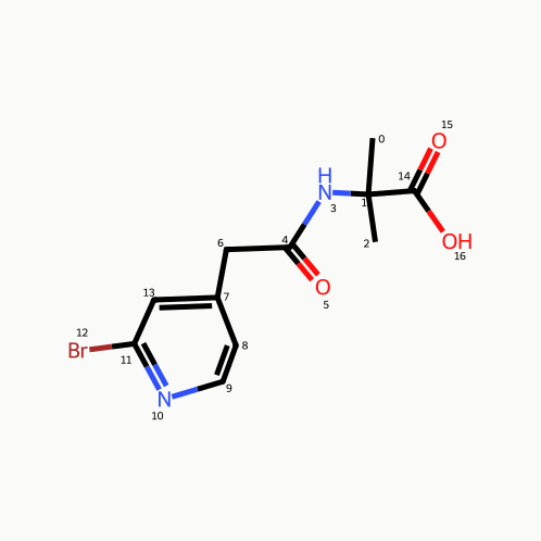 CC(C)(NC(=O)Cc1ccnc(Br)c1)C(=O)O